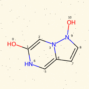 OC1=CN2C(=CN1)C=CN2O